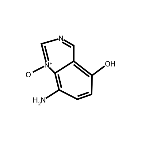 Nc1ccc(O)c2cnc[n+]([O-])c12